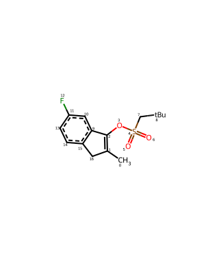 CC1=C(OS(=O)(=O)CC(C)(C)C)c2cc(F)ccc2C1